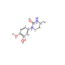 COc1ccc(N2CCC(C)NC2=O)cc1O